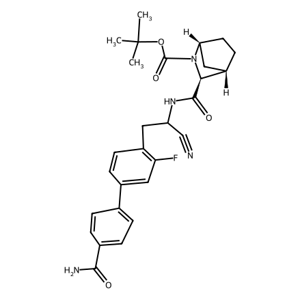 CC(C)(C)OC(=O)N1[C@@H]2CC[C@@H](C2)[C@H]1C(=O)NC(C#N)Cc1ccc(-c2ccc(C(N)=O)cc2)cc1F